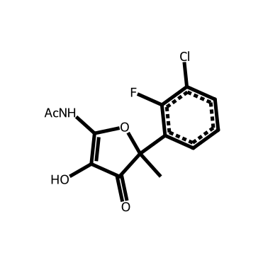 CC(=O)NC1=C(O)C(=O)C(C)(c2cccc(Cl)c2F)O1